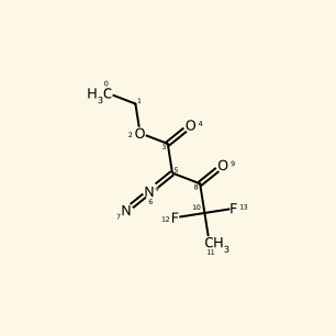 CCOC(=O)C(=[N+]=[N-])C(=O)C(C)(F)F